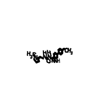 CCc1ccc(-c2ccc3c(NC(=O)NCCC4CCCN4C)n[nH]c3c2)cc1